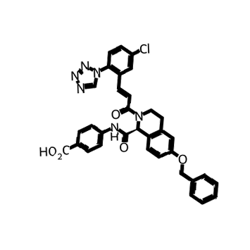 O=C(O)c1ccc(NC(=O)[C@@H]2c3ccc(OCc4ccccc4)cc3CCN2C(=O)/C=C/c2cc(Cl)ccc2-n2cnnn2)cc1